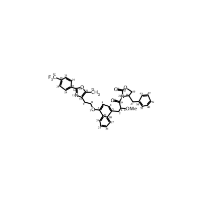 COC(Cc1ccc(OCCc2nc(-c3ccc(C(F)(F)F)cc3)oc2C)c2ccccc12)C(=O)N1C(=O)OCC1Cc1ccccc1